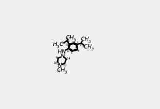 CC(C)c1ccc(NN2CCN(C)CC2)c(C(C)C)c1